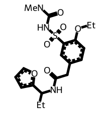 CCOc1ccc(CC(=O)NC(CC)c2ccco2)cc1S(=O)(=O)NC(=O)NC